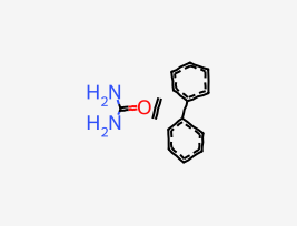 C=C.NC(N)=O.c1ccc(-c2ccccc2)cc1